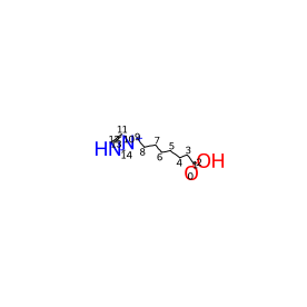 O=C(O)CCCCCCC[n+]1cc[nH]c1